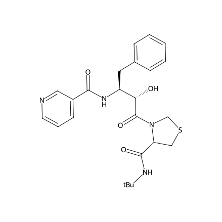 CC(C)(C)NC(=O)C1CSCN1C(=O)[C@@H](O)[C@H](Cc1ccccc1)NC(=O)c1cccnc1